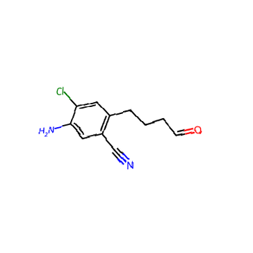 N#Cc1cc(N)c(Cl)cc1CCCC=O